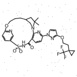 CC1(C)CC2CCCOc3ccc(cn3)S(=O)(=O)NC(=O)c3ccc(-n4ccc(OCCC5(C(F)(F)F)CC5)n4)nc3N1C2